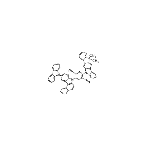 CC1(C)c2ccccc2-c2cc3c(cc21)c1ccccc1n3-c1cc(C#N)c(-n2c3ccc(-n4c5ccccc5c5ccccc54)cc3c3c4ccccc4ccc32)cc1C#N